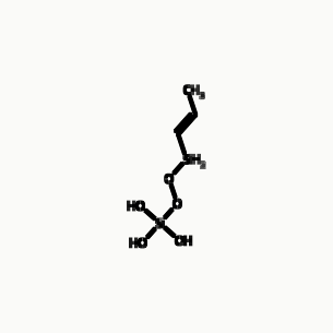 CC=C[SiH2]OO[Si](O)(O)O